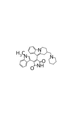 Cn1cc(C2=C(c3c4n(c5ccccc35)CCC(CN3CCCCC3)C4)C(=O)NC2=O)c2ccccc21